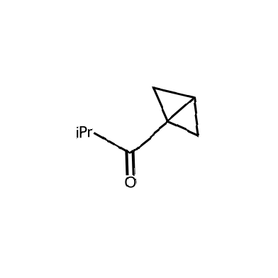 CC(C)C(=O)C12CC1C2